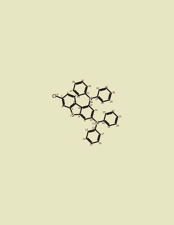 Clc1ccc2c(c1)sc1cc(N(c3ccccc3)c3ccccc3)cc(N(c3ccccc3)c3ccccc3)c12